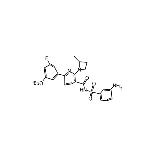 CC(C)COc1cc(F)cc(-c2ccc(C(=O)NS(=O)(=O)c3cccc(N)c3)c(N3CCC3C)n2)c1